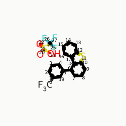 FC(F)(F)c1cccc(-c2cccc3sc4ccccc4c23)c1.O=S(=O)(O)C(F)(F)F